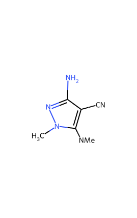 CNc1c(C#N)c(N)nn1C